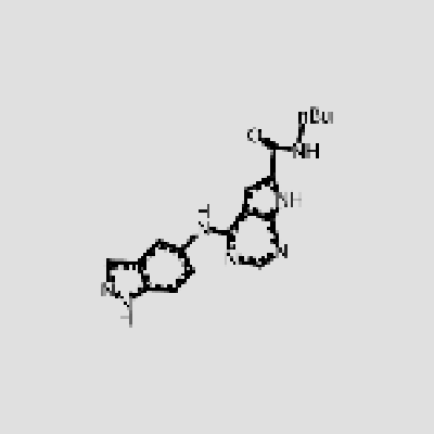 CCCCNC(=O)c1cc2c(Nc3ccc4[nH]ncc4c3)ncnc2[nH]1